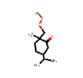 CC(C)C1CCC(C)(COSS)C(=O)C1